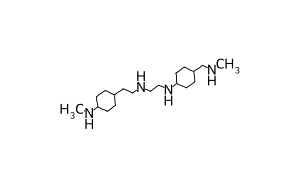 CNCC1CCC(NCCNCCC2CCC(NC)CC2)CC1